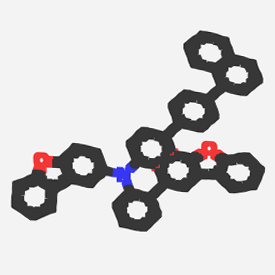 c1ccc(N(c2ccc(-c3ccc(-c4cccc5ccccc45)cc3)cc2)c2ccc3oc4ccccc4c3c2)c(-c2ccc3oc4ccccc4c3c2)c1